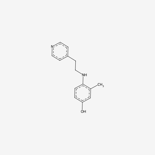 Cc1cc(O)ccc1NCCc1ccncc1